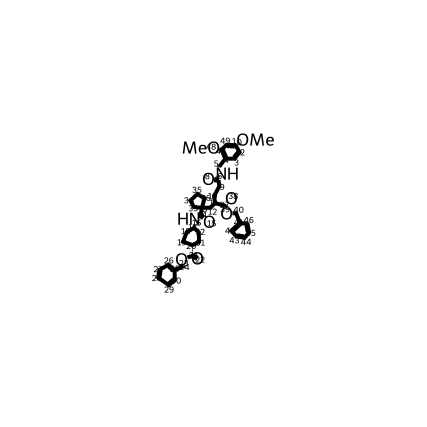 COc1ccc(CNC(=O)CCC(CC2(C(=O)N[C@H]3CC[C@@H](C(=O)OCc4ccccc4)CC3)CCCC2)C(=O)OCc2ccccc2)c(OC)c1